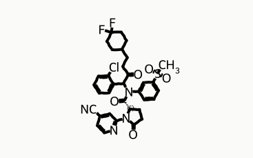 CS(=O)(=O)c1cccc(N(C(=O)[C@@H]2CCC(=O)N2c2cc(C#N)ccn2)C(C(=O)CCC2CCC(F)(F)CC2)c2ccccc2Cl)c1